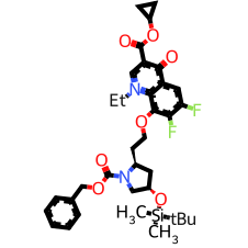 CCn1cc(C(=O)OC2CC2)c(=O)c2cc(F)c(F)c(OCC[C@H]3C[C@@H](O[Si](C)(C)C(C)(C)C)CN3C(=O)OCc3ccccc3)c21